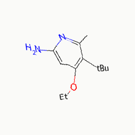 CCOc1cc(N)nc(C)c1C(C)(C)C